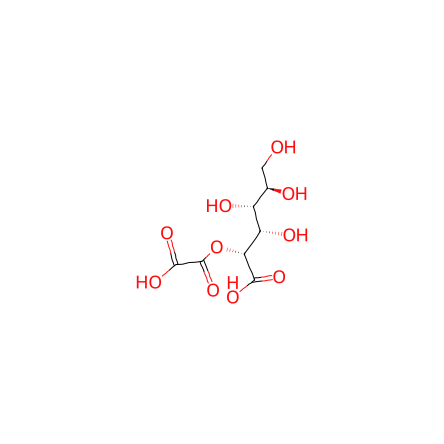 O=C(O)C(=O)O[C@@H](C(=O)O)[C@@H](O)[C@H](O)[C@H](O)CO